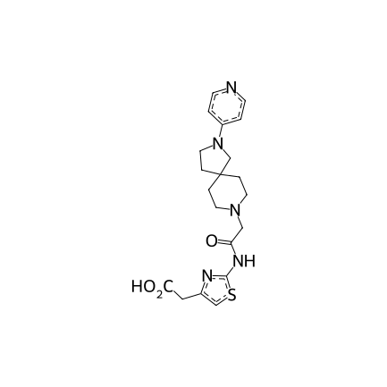 O=C(O)Cc1csc(NC(=O)CN2CCC3(CC2)CCN(c2ccncc2)C3)n1